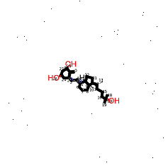 C=C1/C(=C\C=C2/CCC[C@]3(C)C([C@H](C)CCCC(C)(C)O)CC[C@@H]23)C[C@@H](O)C[C@@H]1O